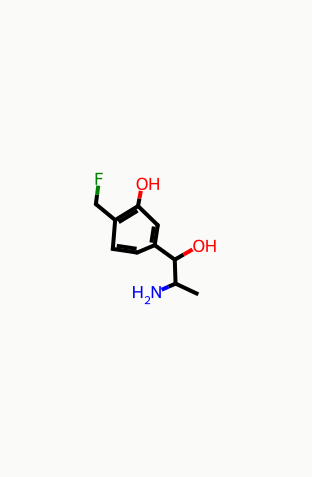 CC(N)C(O)c1ccc(CF)c(O)c1